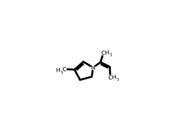 C/C=C(/C)N1C=C(C)CC1